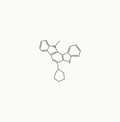 Cn1c2ccccc2c2cc(C3CCCCC3)c3sc4ccccc4c3c21